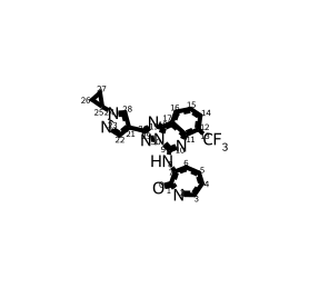 O=c1nccccc1Nc1nc2c(C(F)(F)F)cccc2c2nc(-c3cnn(C4CC4)c3)nn12